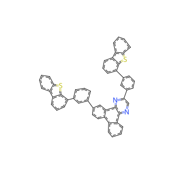 c1cc(-c2ccc3c4ccccc4c4ncc(-c5cccc(-c6cccc7c6sc6ccccc67)c5)nc4c3c2)cc(-c2cccc3c2sc2ccccc23)c1